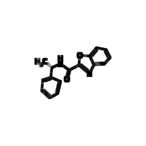 C[C@H](NC(=O)c1nc2ccccc2o1)c1ccccc1